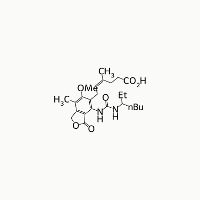 CCCCC(CC)NC(=O)Nc1c(CC=C(C)CCC(=O)O)c(OC)c(C)c2c1C(=O)OC2